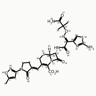 Cc1cc(N2CCC(=CC3=C(C(=O)O)N4C(=O)[C@@H](NC(=O)C(=NOC(C)(C)C(N)=O)c5csc(N)n5)[C@H]4SC3)C2=O)no1